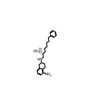 Cl.Cl.Nc1cccc2c1CCC(NCCCCCCCCc1ccccc1)C2